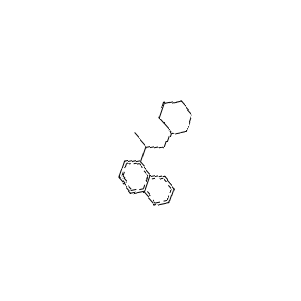 CC(CC1CCCCC1)c1cccc2ccccc12